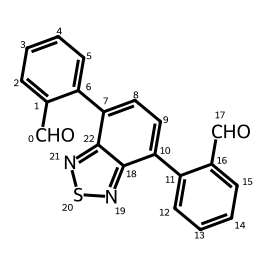 O=Cc1ccccc1-c1ccc(-c2ccccc2C=O)c2nsnc12